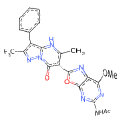 COc1nc(NC(C)=O)nc2oc(-c3c(C)[nH]c4c(-c5ccccc5)c(C(F)(F)F)nn4c3=O)nc12